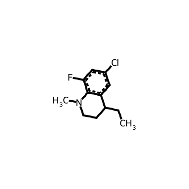 CCC1CCN(C)c2c(F)cc(Cl)cc21